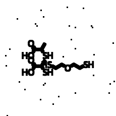 CC(S)C(=O)O.CC(S)C(=O)O.SCCOCCS